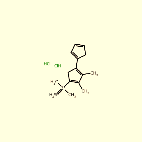 CC1=C(C2=CC=CC2)C[C]([Zr]([CH3])([CH3])=[SiH2])=C1C.Cl.Cl